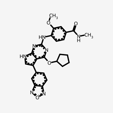 CNC(=O)c1ccc(Nc2nc(OC3CCCC3)c3c(-c4ccc5nonc5c4)c[nH]c3n2)c(OC)c1